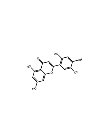 O=c1cc(-c2cc(O)c(O)cc2O)oc2cc(O)cc(O)c12